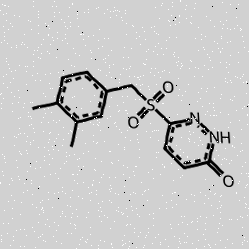 Cc1ccc(CS(=O)(=O)c2ccc(=O)[nH]n2)cc1C